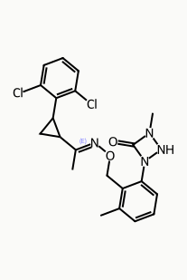 C/C(=N\OCc1c(C)cccc1-n1[nH]n(C)c1=O)C1CC1c1c(Cl)cccc1Cl